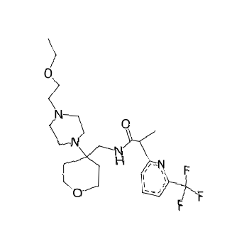 CCOCCN1CCN(C2(CNC(=O)C(C)c3cccc(C(F)(F)F)n3)CCOCC2)CC1